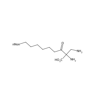 CCCCCCCCCCCCCCCC(=O)C(N)(CN)C(=O)O